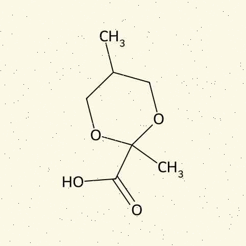 CC1COC(C)(C(=O)O)OC1